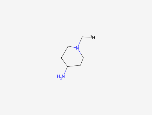 [2H]CN1CCC(N)CC1